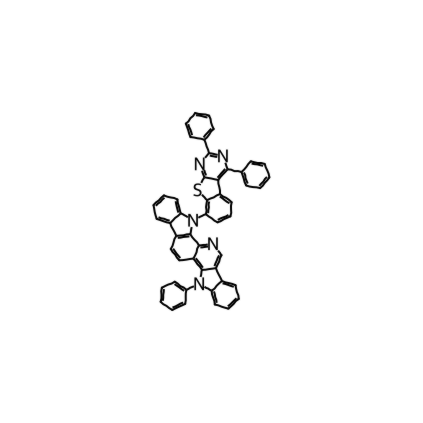 c1ccc(-c2nc(-c3ccccc3)c3c(n2)sc2c(-n4c5ccccc5c5ccc6c(ncc7c8ccccc8n(-c8ccccc8)c76)c54)cccc23)cc1